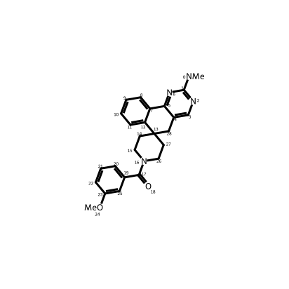 CNc1ncc2c(n1)-c1ccccc1C1(CCN(C(=O)c3cccc(OC)c3)CC1)C2